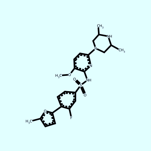 COc1ccc(N2CC(C)NC(C)C2)nc1NS(=O)(=O)c1ccc(-c2ccc(C)o2)c(F)c1